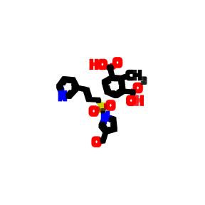 Cc1c(C(=O)O)cccc1C(=O)O.O=Cc1ccn(S(=O)(=O)CC=Cc2cccnc2)c1